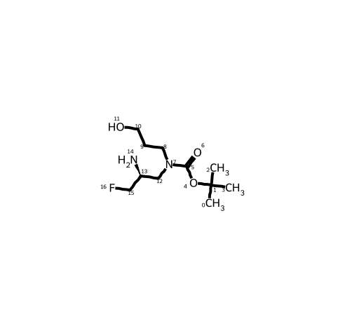 CC(C)(C)OC(=O)N(CCCO)C[C@H](N)CF